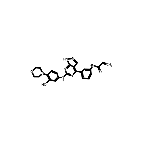 C=CC(=O)Nc1cccc(-c2nc(Nc3ccc(N4CCOCC4)c(O)c3)nc3[nH]ncc23)c1